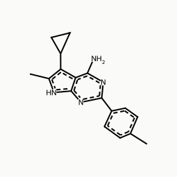 Cc1ccc(-c2nc(N)c3c(C4CC4)c(C)[nH]c3n2)cc1